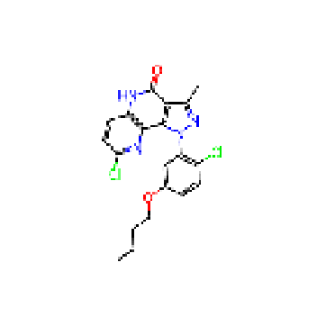 CCCCOc1ccc(Cl)c(-n2nc(C)c3c(=O)[nH]c4ccc(Cl)nc4c32)c1